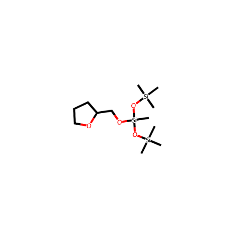 C[Si](C)(C)O[Si](C)(OCC1CCCO1)O[Si](C)(C)C